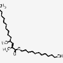 CCCCCCCCCCCCOC(=O)C(C)=CC(O)CCCCCCCCCCC